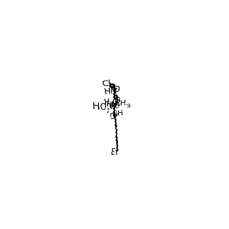 CCC=CCC=CCC=CCC=CCC=CCC=CCCC(=O)NCCCCC(NC(=O)C(C)(C)Oc1ccc(CCNC(=O)c2ccc(Cl)cc2)cc1)C(=O)O